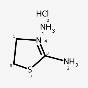 Cl.N.NC1=NCCS1